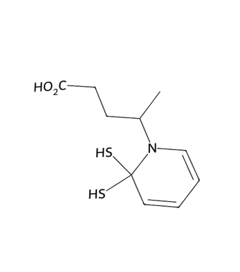 CC(CCC(=O)O)N1C=CC=CC1(S)S